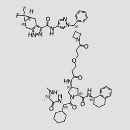 CN[C@@H](C)C(=O)N[C@H](C(=O)N1C[C@@H](NC(=O)CCOCCC(=O)N2CC([C@@H](c3ccccc3)n3cc(NC(=O)c4n[nH]c5c4C[C@@H]4C(F)(F)[C@]4(C)C5)cn3)C2)C[C@H]1C(=O)N[C@@H]1CCCc2ccccc21)C1CCCCC1